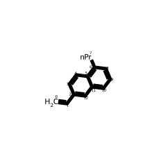 C=Cc1ccc2c(CCC)cccc2c1